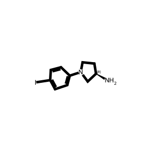 N[C@@H]1CCN(c2ccc(I)cc2)C1